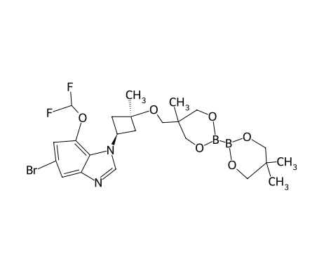 CC1(C)COB(B2OCC(C)(CO[C@]3(C)C[C@H](n4cnc5cc(Br)cc(OC(F)F)c54)C3)CO2)OC1